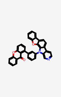 O=c1c2ccccc2oc2cccc(-c3cccc(-n4c5cnccc5c5ccc6c7ccccc7oc6c54)c3)c12